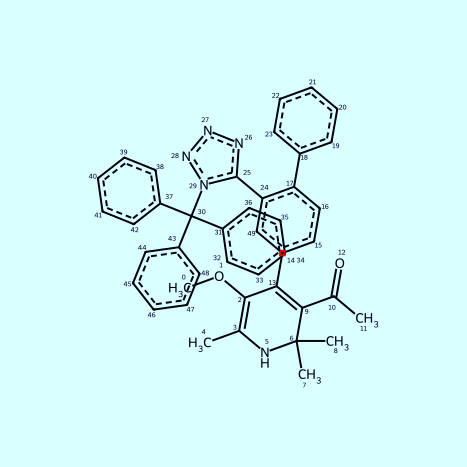 COC1=C(C)NC(C)(C)C(C(C)=O)=C1c1ccc(-c2ccccc2)c(-c2nnnn2C(c2ccccc2)(c2ccccc2)c2ccccc2)c1